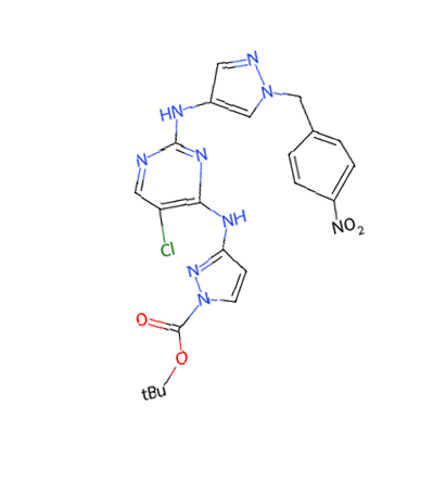 CC(C)(C)OC(=O)n1ccc(Nc2nc(Nc3cnn(Cc4ccc([N+](=O)[O-])cc4)c3)ncc2Cl)n1